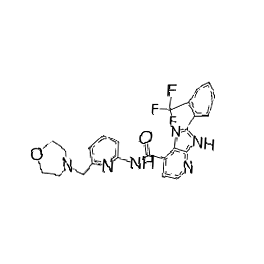 O=C(Nc1cccc(CN2CCOCC2)n1)c1ccnc2[nH]c(-c3ccccc3C(F)(F)F)nc12